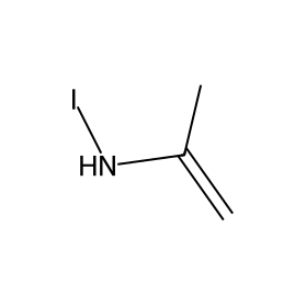 C=C(C)NI